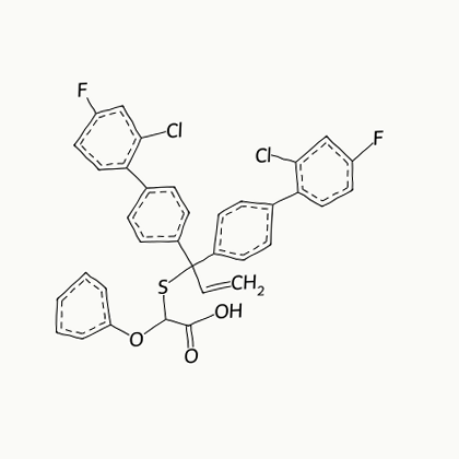 C=CC(SC(Oc1ccccc1)C(=O)O)(c1ccc(-c2ccc(F)cc2Cl)cc1)c1ccc(-c2ccc(F)cc2Cl)cc1